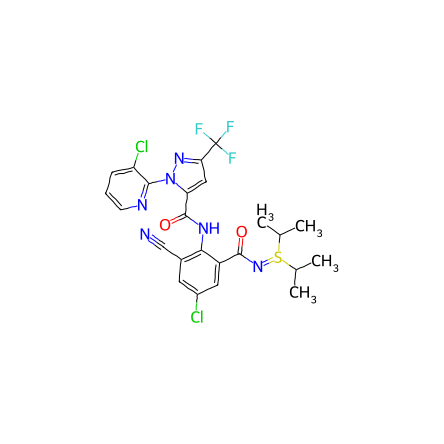 CC(C)S(=NC(=O)c1cc(Cl)cc(C#N)c1NC(=O)c1cc(C(F)(F)F)nn1-c1ncccc1Cl)C(C)C